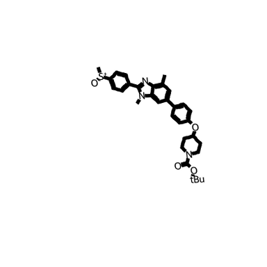 Cc1cc(-c2ccc(OC3CCN(C(=O)OC(C)(C)C)CC3)cc2)cc2c1nc(-c1ccc([S+](C)[O-])cc1)n2C